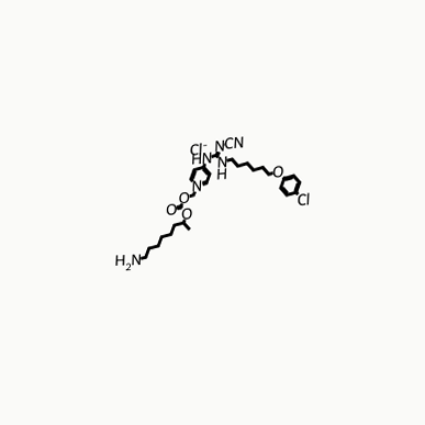 CC(CCCCCCN)OC(=O)OC[n+]1ccc(NC(=NC#N)NCCCCCCOc2ccc(Cl)cc2)cc1.[Cl-]